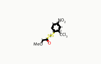 COCC(=O)SSc1ccc([N+](=O)[O-])cc1C(Cl)(Cl)Cl